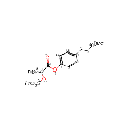 CCCCCCCCCCCCc1ccc(OC(=O)C(CCCC)OS(=O)(=O)O)cc1